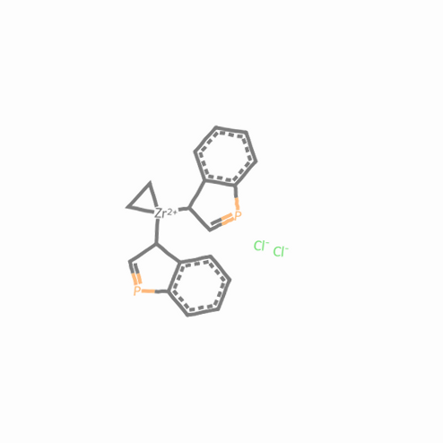 C1=Pc2ccccc2[CH]1[Zr+2]1([CH]2C=Pc3ccccc32)[CH2][CH2]1.[Cl-].[Cl-]